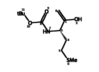 C=C(O)[C@H](CCSC)NC(=O)OC(C)(C)C